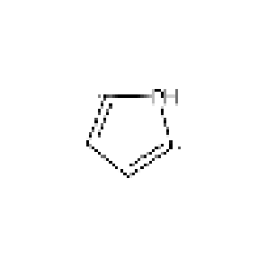 [c]1cc[c][pH]1